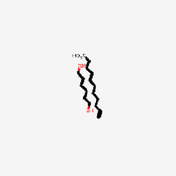 C=CCCCCCCCCC(=O)O.OCCCCCCO